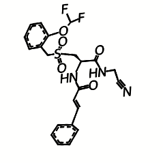 N#CCNC(=O)[C@H](CS(=O)(=O)Cc1ccccc1OC(F)F)NC(=O)/C=C/c1ccccc1